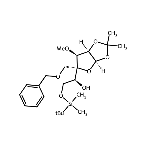 CO[C@H]1[C@H]2OC(C)(C)O[C@H]2O[C@@]1(COCc1ccccc1)[C@@H](O)CO[Si](C)(C)C(C)(C)C